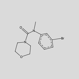 CN(C(=O)N1CCOCC1)c1cccc(Br)c1